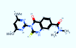 COc1cc(OC)nc(-n2c(=S)[nH]c3cc(C(=O)N(C)C)ccc3c2=O)n1